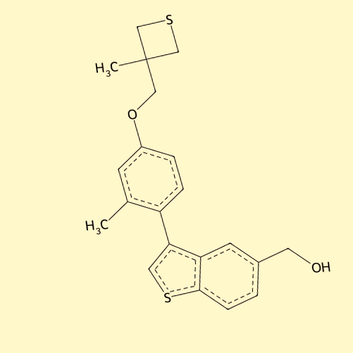 Cc1cc(OCC2(C)CSC2)ccc1-c1csc2ccc(CO)cc12